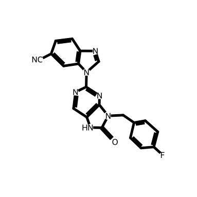 N#Cc1ccc2ncn(-c3ncc4[nH]c(=O)n(Cc5ccc(F)cc5)c4n3)c2c1